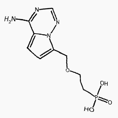 Nc1ncnn2c(COCCP(=O)(O)O)ccc12